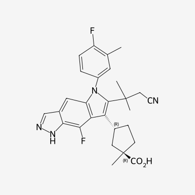 Cc1cc(-n2c(C(C)(C)CC#N)c([C@@H]3CC[C@@](C)(C(=O)O)C3)c3c(F)c4[nH]ncc4cc32)ccc1F